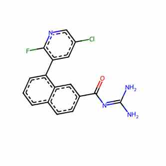 NC(N)=NC(=O)c1ccc2cccc(-c3cc(Cl)cnc3F)c2c1